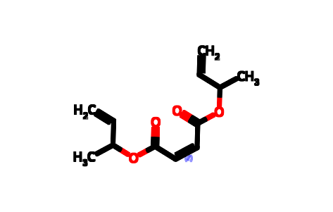 C=CC(C)OC(=O)/C=C\C(=O)OC(C)C=C